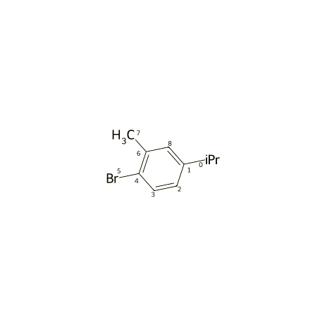 [CH2]C(C)c1ccc(Br)c(C)c1